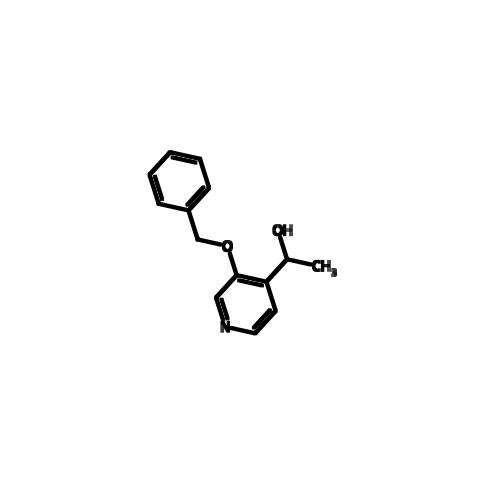 CC(O)c1ccncc1OCc1ccccc1